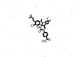 CC[C@@H](C)[C@@]1(c2ccc(CCC(C)C)c(Cl)c2)NC(=O)N(c2ccc(C(=O)O)cc2)C=C1C1CC(F)(F)C1